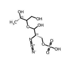 C[C@H](O)C(CO)OC(O)[C@H](COS(=O)(=O)O)N=[N+]=[N-]